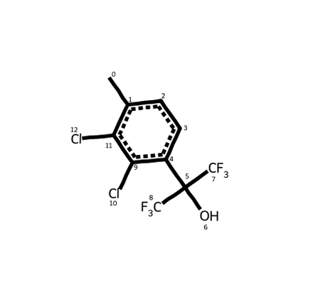 Cc1ccc(C(O)(C(F)(F)F)C(F)(F)F)c(Cl)c1Cl